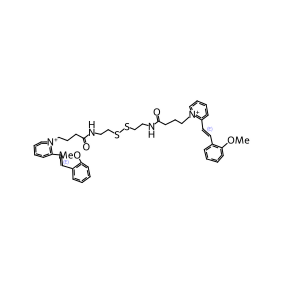 COc1ccccc1/C=C/c1cccc[n+]1CCCC(=O)NCCSSCCNC(=O)CCC[n+]1ccccc1/C=C/c1ccccc1OC